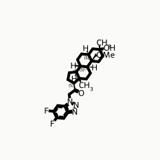 COC[C@]12CC[C@@](C)(O)C[C@@H]1CC[C@H]1[C@@H]3CC[C@H](C(=O)Cn4nnc5cc(F)c(F)cc54)[C@@]3(C)CC[C@@H]12